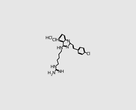 Cl.Cl.N=C(N)NCCCCCNc1nc(/C=C/c2ccc(Cl)cc2)nc2ccccc12